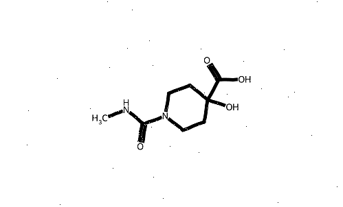 CNC(=O)N1CCC(O)(C(=O)O)CC1